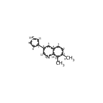 Cc1ccc2cc(-c3ccsc3)cnc2c1C